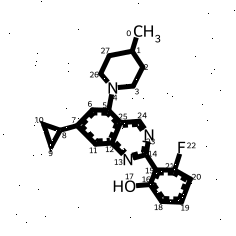 CC1CCN(c2cc(C3CC3)cc3nc(-c4c(O)cccc4F)ncc23)CC1